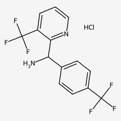 Cl.NC(c1ccc(C(F)(F)F)cc1)c1ncccc1C(F)(F)F